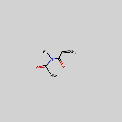 C=CC(=O)N(C(=O)NC)C(C)C